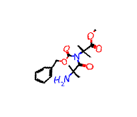 COC(=O)C(C)(C)N(C(=O)OCc1ccccc1)C(=O)C(C)(C)N